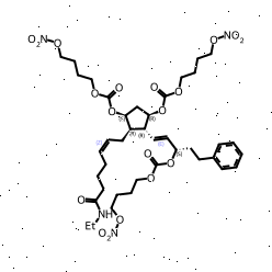 CCNC(=O)CCC/C=C\C[C@@H]1[C@@H](/C=C/[C@H](CCc2ccccc2)OC(=O)OCCCCO[N+](=O)[O-])[C@H](OC(=O)OCCCCO[N+](=O)[O-])C[C@@H]1OC(=O)OCCCCO[N+](=O)[O-]